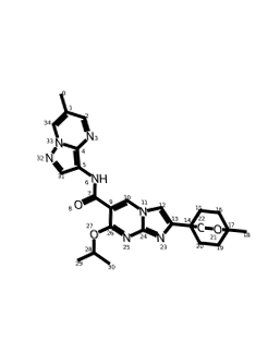 Cc1cnc2c(NC(=O)c3cn4cc(C56CCC(C)(CC5)OC6)nc4nc3OC(C)C)cnn2c1